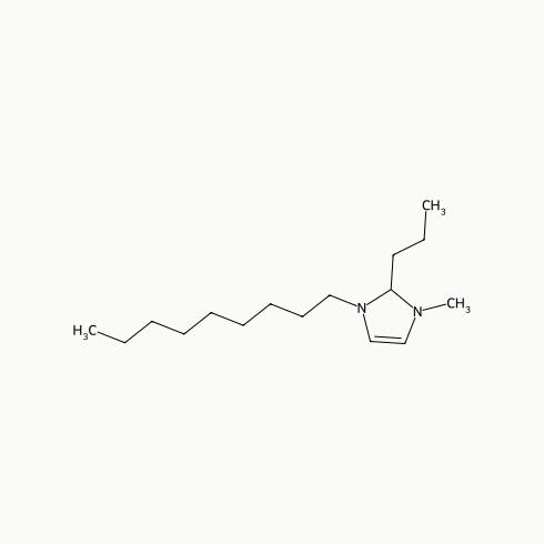 CCCCCCCCCN1C=CN(C)C1CCC